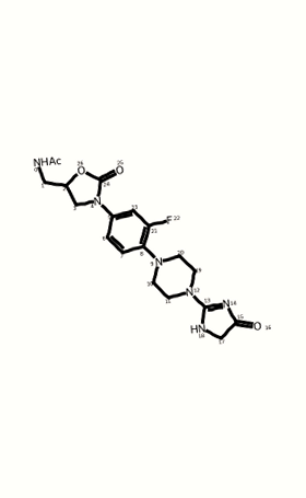 CC(=O)NCC1CN(c2ccc(N3CCN(C4=NC(=O)CN4)CC3)c(F)c2)C(=O)O1